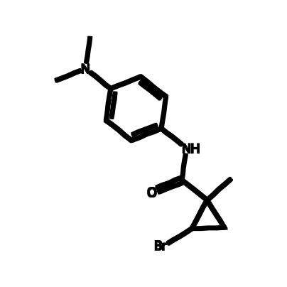 CN(C)c1ccc(NC(=O)C2(C)CC2Br)cc1